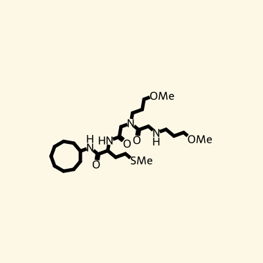 COCCCNCC(=O)N(CCCOC)CC(=O)NC(CCSC)C(=O)NC1CCCCCCCC1